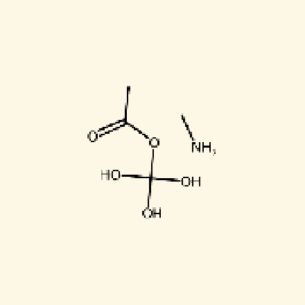 CC(=O)OC(O)(O)O.CN